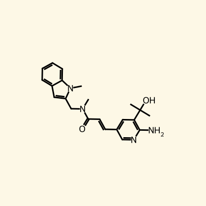 CN(Cc1cc2ccccc2n1C)C(=O)/C=C/c1cnc(N)c(C(C)(C)O)c1